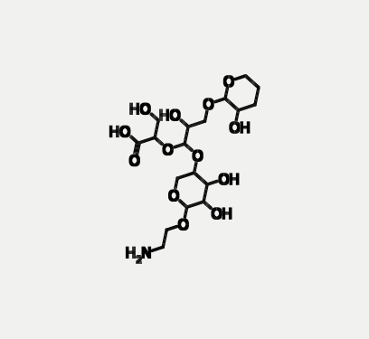 NCCOC1OCC(OC(OC(CO)C(=O)O)C(O)COC2OCCCC2O)C(O)C1O